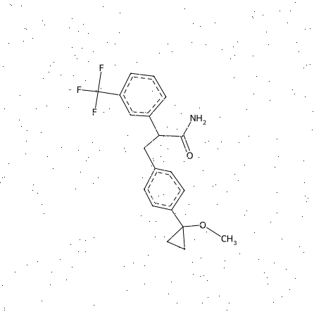 COC1(c2ccc(CC(C(N)=O)c3cccc(C(F)(F)F)c3)cc2)CC1